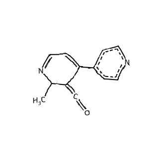 CC1N=CC=C(c2ccncc2)C1=C=O